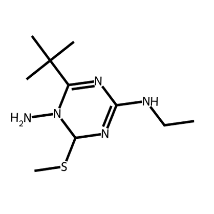 CCNC1=NC(SC)N(N)C(C(C)(C)C)=N1